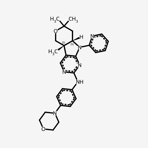 CC1(C)C[C@@H]2N(c3ccccn3)c3nc(Nc4ccc(N5CCOCC5)cc4)ncc3[C@]2(C)CO1